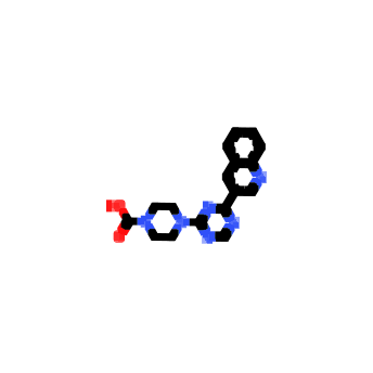 O=C(O)N1CCN(c2ncnc(-c3cnc4ccccc4c3)n2)CC1